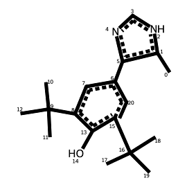 Cc1[nH]cnc1-c1cc(C(C)(C)C)c(O)c(C(C)(C)C)c1